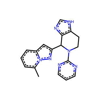 Cc1cccc2cc(C3c4nc[nH]c4CCN3c3ncccn3)nn12